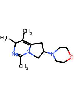 CC1=NC(C)C(C)=C2CC(N3CCOCC3)CN12